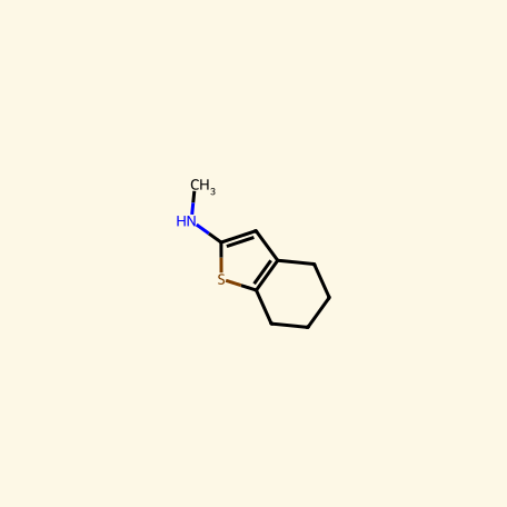 CNc1cc2c(s1)CCCC2